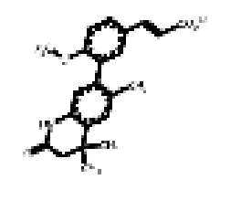 Cc1cc2c(cc1-c1cc(C=CC(=O)O)ccc1OC(F)(F)F)NC(=O)CC2(C)C